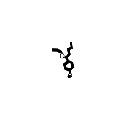 C=C=COC(CCCC)c1ccc(OC)cc1